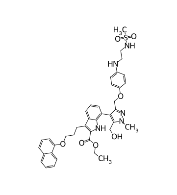 CCOC(=O)c1[nH]c2c(-c3c(COc4ccc(NCCNS(C)(=O)=O)cc4)nn(C)c3CO)cccc2c1CCCOc1cccc2ccccc12